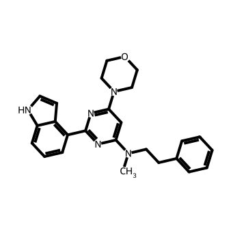 CN(CCc1ccccc1)c1cc(N2CCOCC2)nc(-c2cccc3[nH]ccc23)n1